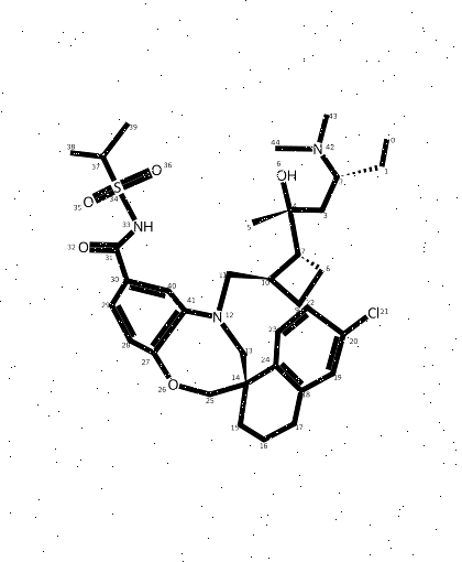 CC[C@H](C[C@@](C)(O)[C@@H]1CC[C@H]1CN1C[C@@]2(CCCc3cc(Cl)ccc32)COc2ccc(C(=O)NS(=O)(=O)C(C)C)cc21)N(C)C